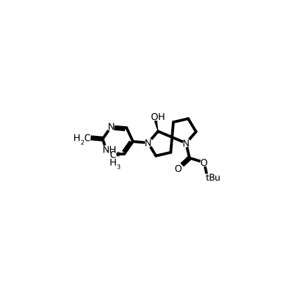 C=C(N)/N=C\C(=C/C)N1CCC2(CCCN2C(=O)OC(C)(C)C)[C@@H]1O